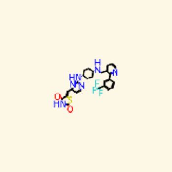 O=C1NC(=O)/C(=C/c2ccnc(N[C@H]3CC[C@H](NCc4cccnc4-c4cccc(C(F)(F)F)c4)CC3)n2)S1